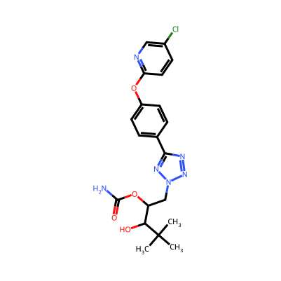 CC(C)(C)C(O)C(Cn1nnc(-c2ccc(Oc3ccc(Cl)cn3)cc2)n1)OC(N)=O